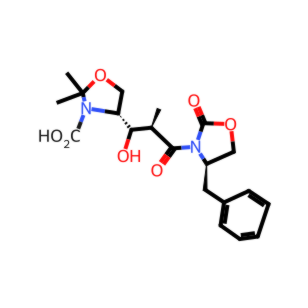 C[C@@H](C(=O)N1C(=O)OC[C@H]1Cc1ccccc1)C(O)[C@H]1COC(C)(C)N1C(=O)O